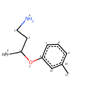 CCCC(CCN)Oc1cccc(C)c1